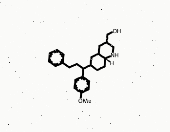 COc1ccc(C(CCc2ccccc2)C2CC[C@H]3NCC(CO)CC3C2)cc1